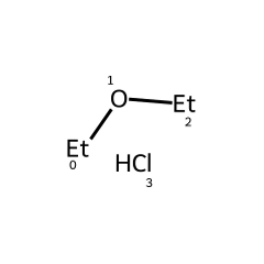 CCOCC.Cl